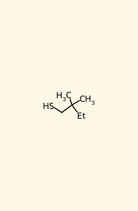 [CH2]CC(C)(C)CS